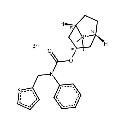 C[N+]1(C)[C@@H]2CC[C@H]1C[C@@H](OC(=O)N(Cc1cccs1)c1ccccc1)C2.[Br-]